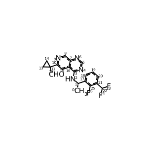 C[C@@H](Nc1ncnc2cnc(C3(C=O)CC3)cc12)c1cccc(C(F)F)c1F